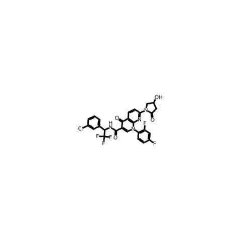 O=C(NC(c1cccc(Cl)c1)C(F)(F)F)c1cn(-c2ccc(F)cc2F)c2nc(N3CC(O)CC3=O)ccc2c1=O